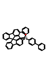 c1ccc(-c2ccc(N(c3ccccc3)c3ccc4c(c3)C3(c5ccccc5-4)c4ccccc4-c4ccc5ccccc5c43)cc2)cc1